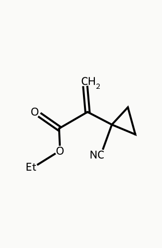 C=C(C(=O)OCC)C1(C#N)CC1